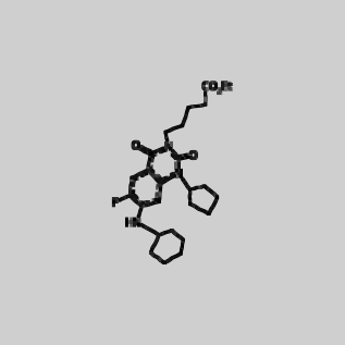 CCOC(=O)CCCCn1c(=O)c2cc(F)c(NC3CCCCC3)cc2n(C2CCCC2)c1=O